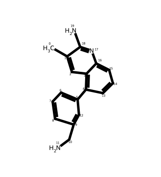 Cc1cc2c(-c3cccc(CN)c3)cccc2nc1N